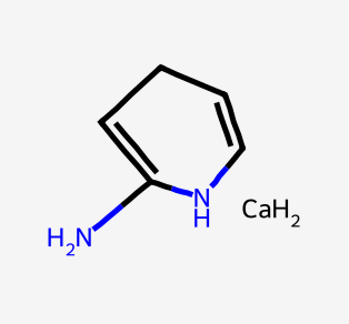 NC1=CCC=CN1.[CaH2]